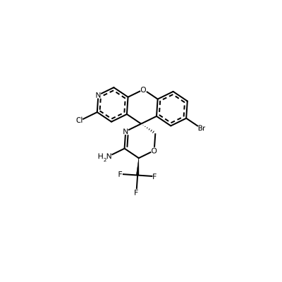 NC1=N[C@]2(CO[C@H]1C(F)(F)F)c1cc(Br)ccc1Oc1cnc(Cl)cc12